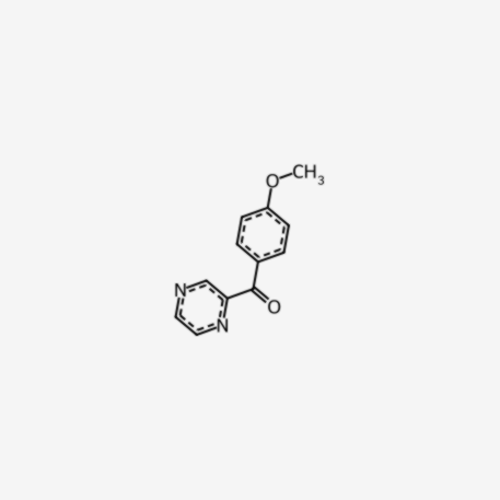 COc1ccc(C(=O)c2cnccn2)cc1